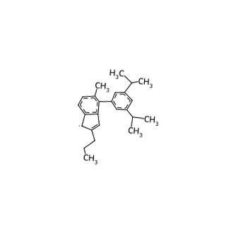 CCCC1=Cc2c(ccc(C)c2-c2cc(C(C)C)cc(C(C)C)c2)[CH]1